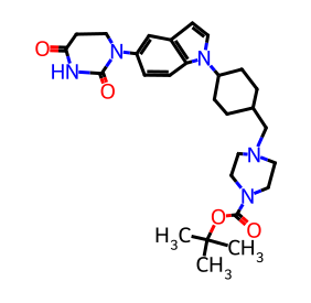 CC(C)(C)OC(=O)N1CCN(CC2CCC(n3ccc4cc(N5CCC(=O)NC5=O)ccc43)CC2)CC1